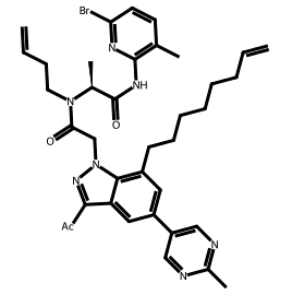 C=CCCCCCCc1cc(-c2cnc(C)nc2)cc2c(C(C)=O)nn(CC(=O)N(CCC=C)[C@@H](C)C(=O)Nc3nc(Br)ccc3C)c12